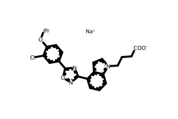 CC(C)Oc1ccc(-c2nc(-c3cccc4c3ccn4CCCC(=O)[O-])no2)cc1Cl.[Na+]